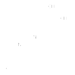 CC(C)C1CCN(c2ncc(Cl)cc2F)CC1